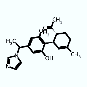 C=C(C)[C@@H]1CCC(C)=C[C@H]1c1c(O)cc(C(C)n2ccnc2)cc1O